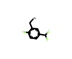 CC(C)Cc1cc(C(F)F)ccc1F